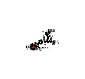 COC(=O)/C=C/c1ccc(C2(OC)OOC23C(C)CC2CC(C)CC3C2)c(Cl)c1OCc1ccc(NC(=O)C(CCCNC(N)=O)NC(=O)C(NC(=O)OC(C)(P)CO)C(C)C)cc1